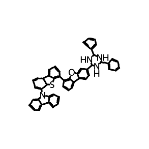 C1=CC2c3cccc(-c4cccc5c4oc4cc(C6NC(c7ccccc7)NC(c7ccccc7)N6)ccc45)c3SC2C(n2c3ccccc3c3ccccc32)=C1